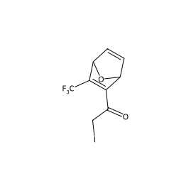 O=C(CI)C1=C(C(F)(F)F)C2C=CC1O2